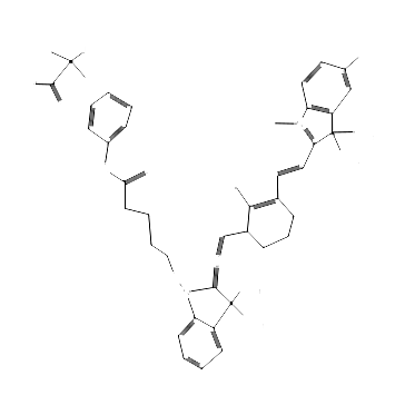 CC[N+]1=C(/C=C/C2=C(Cl)C(C=C=C3N(CCCCCC(=O)Oc4ccccc4)c4ccccc4C3(C)C)CCC2)C(C)(C)c2cc(C(=O)O)ccc21.O=C([O-])C(F)(F)F